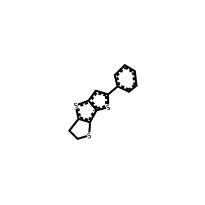 c1ccc(-c2cc3sc4c(c3s2)SCC4)cc1